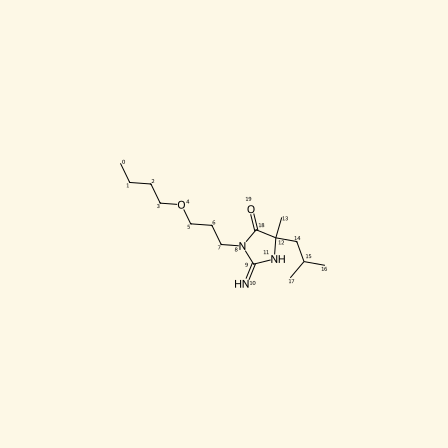 CCCCOCCCN1C(=N)NC(C)(CC(C)C)C1=O